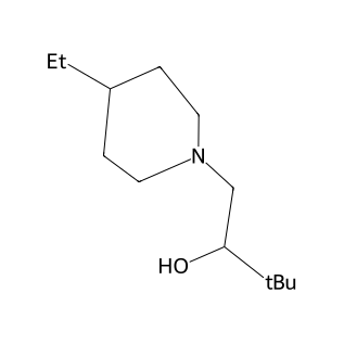 CCC1CCN(CC(O)C(C)(C)C)CC1